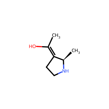 C/C(O)=C1/CCN[C@@H]1C